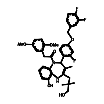 COc1ccc(OC)c(CC(=O)N2c3cccc(O)c3NC(CC(C)(C)CO)=C(C)C2c2ccc(OCc3ccc(F)c(F)c3)cc2F)c1